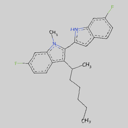 CCCCCC(C)c1c(-c2cc3ccc(F)cc3[nH]2)n(C)c2cc(F)ccc12